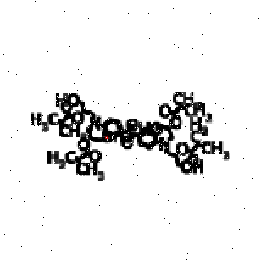 C=C(C)C(=O)OC(CO)CN(CC(CO)OC(=O)C(=C)C)c1ccc(S(=O)(=O)c2ccc(N(CC(CO)OC(=O)C(=C)C)CC(CO)OC(=O)C(=C)C)cc2)cc1